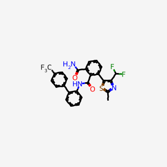 Cc1nc(C(F)F)c(-c2cccc(C(N)=O)c2C(=O)Nc2ccccc2-c2ccc(C(F)(F)F)cc2)s1